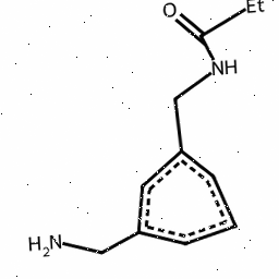 CCC(=O)NCc1cccc(CN)c1